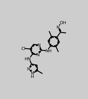 CC(=NO)c1cc(C)c(Nc2ncc(Cl)c(Nc3cc(C)[nH]n3)n2)cc1C